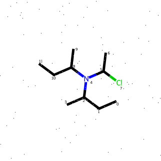 CCC(C)N(C(C)Cl)C(C)CC